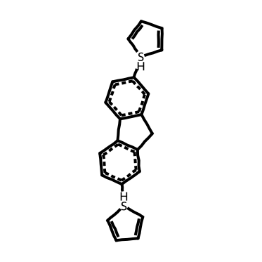 C1=C[SH](c2ccc3c(c2)Cc2cc([SH]4C=CC=C4)ccc2-3)C=C1